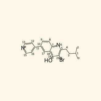 CC(C)CCc1nc2ccc(-c3ccncc3)cc2c(O)c1Br